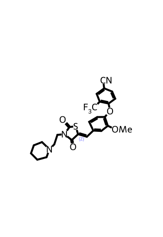 COc1cc(/C=C2\SC(=O)N(CCN3CCCCC3)C2=O)ccc1Oc1ccc(C#N)cc1C(F)(F)F